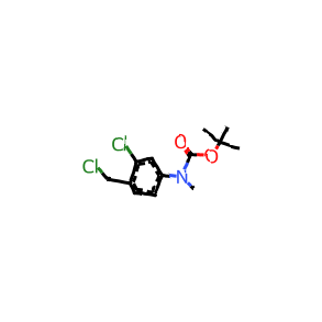 CN(C(=O)OC(C)(C)C)c1ccc(CCl)c(Cl)c1